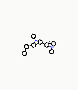 CC1(c2ccccc2)CC(c2ccc3c(c2)c2ccc(-c4cccc(-c5ccccc5)c4)cc2n3-c2ccccc2)=CC=C1Nc1ccccc1